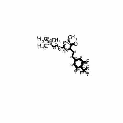 COC(=O)C(CCc1cc(F)c(C(F)(F)F)c(F)c1)NC(=O)OCC[Si](C)(C)C